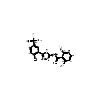 O=C(Nc1nnc(-c2cc(C(F)(F)F)ccc2Cl)s1)c1c(F)cccc1F